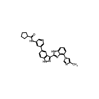 Cc1cn(-c2cccc3[nH]c(-c4n[nH]c5ccc(-c6cncc(NC(=O)C7CCCC7)c6)cc45)nc23)cn1